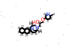 Cc1ccc(OC[C@@H](O)CN2C[C@@H]3C/C=C\C[C@H]2CN3c2ccc3ccccc3c2)cn1